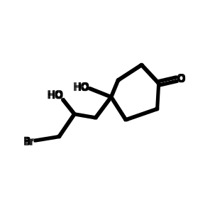 O=C1CCC(O)(CC(O)CBr)CC1